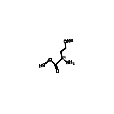 COCC[C@H](N)C(=O)OS